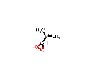 CB(C)[SiH]1OO1